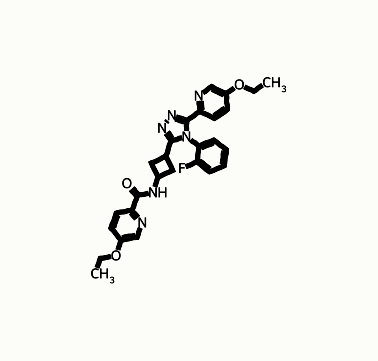 CCOc1ccc(C(=O)NC2CC(c3nnc(-c4ccc(OCC)cn4)n3-c3ccccc3F)C2)nc1